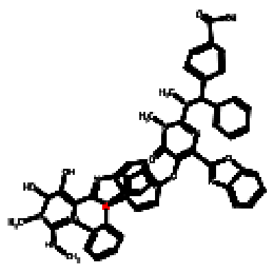 CNC1=[N+](c2ccccc2Cc2ccc(Oc3c(-c4nc5ccccc5o4)nc(N(C)C(c4ccccc4)c4ccc(C(=O)O)cc4)n(C)c3=O)cc2Cl)C(c2nc3ccccc3o2)=C(O)C(O)N1C